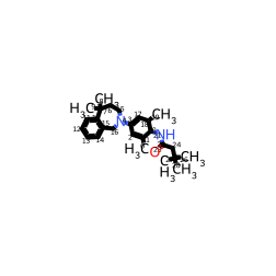 CC1=CC(N2CCC(C)(C)c3ccccc3C2)=CC(C)C1NC(=O)CC(C)(C)C